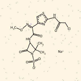 CO/N=C(\C(=O)NC1C(=O)N(S(=O)(=O)[O-])C1(C)C)c1csc(NC(=O)CCl)n1.[Na+]